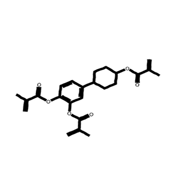 C=C(C)C(=O)Oc1ccc(C2CCC(OC(=O)C(=C)C)CC2)cc1OC(=O)C(=C)C